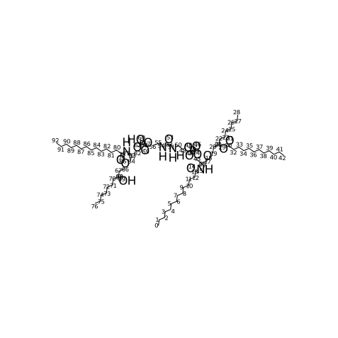 CCCCCCCCCCCCCC(=O)N[C@H](COCC[C@@H](CCCCCCC)OC(=O)CCCCCCCCCCC)COP(=O)(O)OCCNC(=O)NCCOP(=O)(O)OC[C@H](COCC[C@H](O)CCCCCCC)NC(=O)CCCCCCCCCCCCC